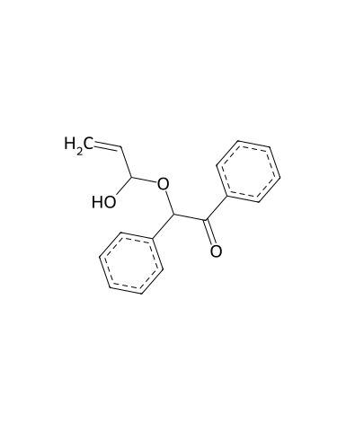 C=CC(O)OC(C(=O)c1ccccc1)c1ccccc1